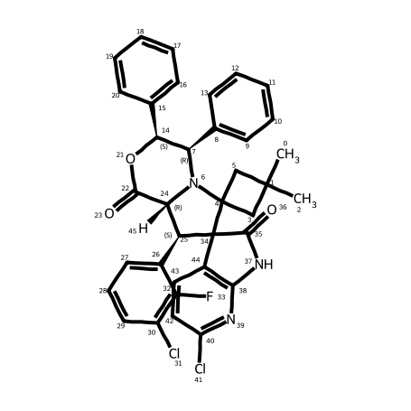 CC1(C)CC2(C1)N1[C@H](c3ccccc3)[C@H](c3ccccc3)OC(=O)[C@H]1[C@H](c1cccc(Cl)c1F)C21C(=O)Nc2nc(Cl)ccc21